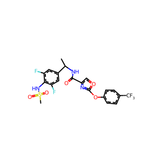 CC(NC(=O)c1coc(Oc2ccc(C(F)(F)F)cc2)n1)c1cc(F)c(NS(C)(=O)=O)c(F)c1